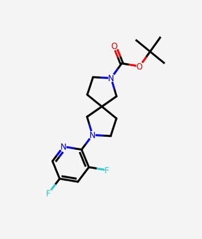 CC(C)(C)OC(=O)N1CCC2(CCN(c3ncc(F)cc3F)C2)C1